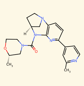 Cc1cc(-c2ccc3c(n2)N(C(=O)N2CCO[C@@H](C)C2)[C@H]2CCN3C2)ccn1